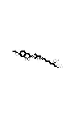 CCOc1ccc(CC(=O)N2CC(CNCCCC[C@H](O)CO)C2)c(F)c1